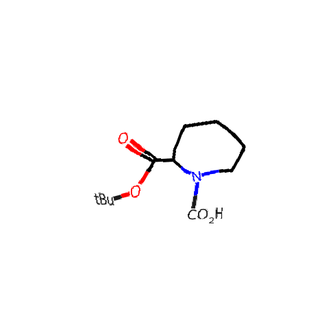 CC(C)(C)OC(=O)C1CCCCN1C(=O)O